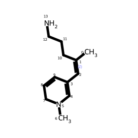 C/C(=C/C1=CN(C)CC=C1)CCCN